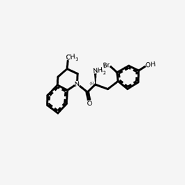 CC1Cc2ccccc2N(C(=O)[C@@H](N)Cc2ccc(O)cc2Br)C1